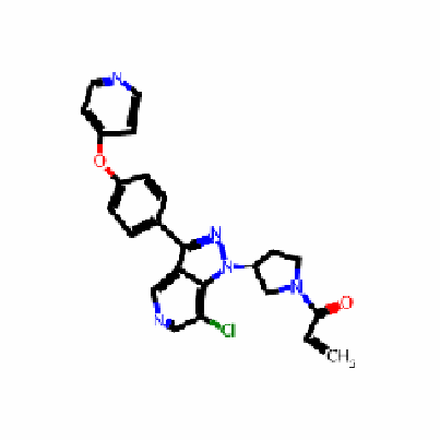 C=CC(=O)N1CC[C@H](n2nc(-c3ccc(Oc4ccncc4)cc3)c3cncc(Cl)c32)C1